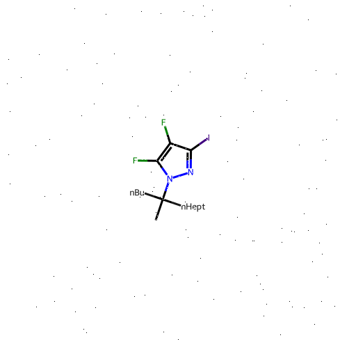 CCCCCCCC(C)(CCCC)n1nc(I)c(F)c1F